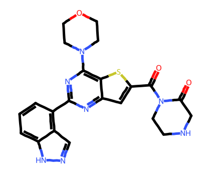 O=C1CNCCN1C(=O)c1cc2nc(-c3cccc4[nH]ncc34)nc(N3CCOCC3)c2s1